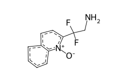 NCC(F)(F)c1ccc2ccccc2[n+]1[O-]